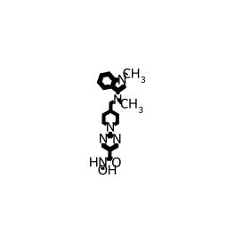 CN(CC1CCN(c2ncc(C(=O)NO)cn2)CC1)c1cn(C)c2ccccc12